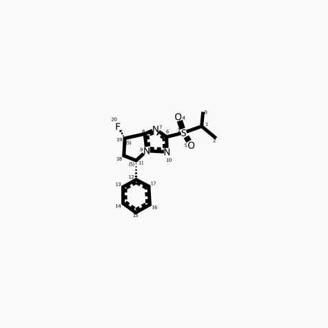 CC(C)S(=O)(=O)c1nc2n(n1)[C@H](c1ccccc1)C[C@@H]2F